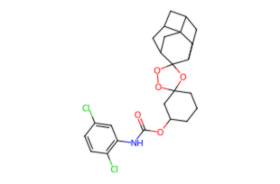 O=C(Nc1cc(Cl)ccc1Cl)OC1CCCC2(C1)OOC1(O2)C2CC3CC4CC1CC34C2